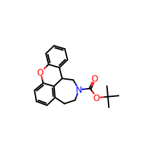 CC(C)(C)OC(=O)N1CCc2cccc3c2C(C1)c1ccccc1O3